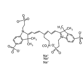 CC1(C)C(=CC=CC(=CC=CC2=[N+](CCS(=O)(=O)[O-])c3ccc(S(=O)(=O)[O-])cc3C2(C)C)CCC(=O)O)N(CCS(=O)(=O)[O-])c2ccc(S(=O)(=O)[O-])cc21.[Na+].[Na+].[Na+]